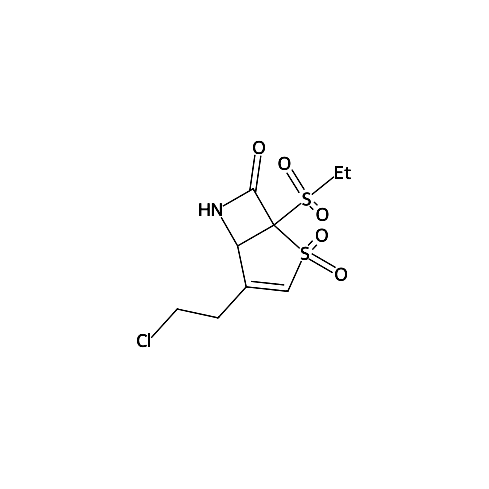 CCS(=O)(=O)C12C(=O)NC1C(CCCl)=CS2(=O)=O